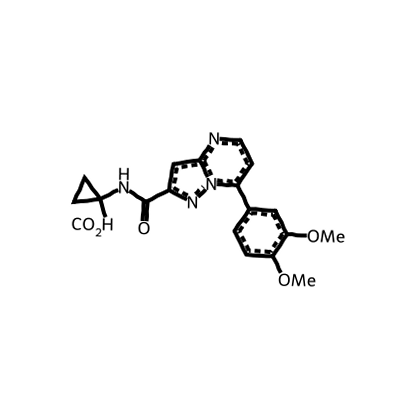 COc1ccc(-c2ccnc3cc(C(=O)NC4(C(=O)O)CC4)nn23)cc1OC